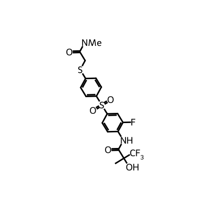 CNC(=O)CSc1ccc(S(=O)(=O)c2ccc(NC(=O)C(C)(O)C(F)(F)F)c(F)c2)cc1